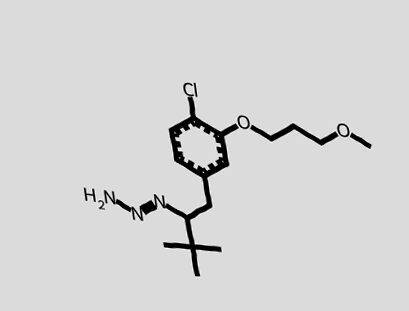 COCCCOc1cc(CC(N=NN)C(C)(C)C)ccc1Cl